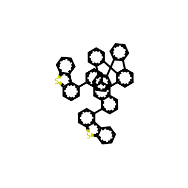 c1ccc2c(c1)-c1ccccc1C21c2ccccc2-c2cccc(-c3c4cccc(-c5cccc6sc7ccccc7c56)c4cc4c(-c5cccc6sc7ccccc7c56)cccc34)c21